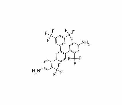 Nc1ccc(-c2ccc(-c3ccc(N)cc3C(F)(F)F)c(-c3cc(C(F)(F)F)cc(C(F)(F)F)c3)c2)c(C(F)(F)F)c1